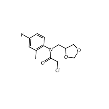 Cc1cc(F)ccc1N(CC1COCO1)C(=O)CCl